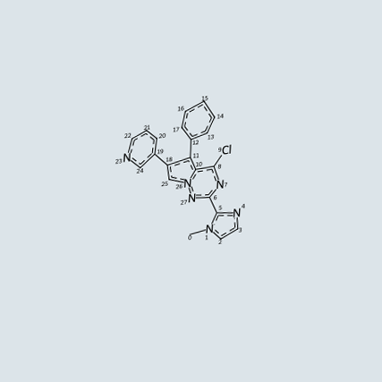 Cn1ccnc1-c1nc(Cl)c2c(-c3ccccc3)c(-c3cccnc3)cn2n1